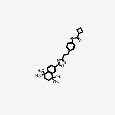 CC1(C)CCC(C)(C)c2cc(-c3nc(CCc4ccc(NC(=O)C5CCC5)cc4)no3)ccc21